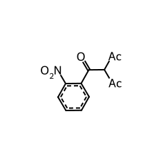 CC(=O)C(C(C)=O)C(=O)c1ccccc1[N+](=O)[O-]